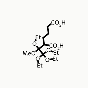 CCOC(OCC)(OCC)C(OC)(OCC)C(CCCC(=O)O)C(=O)O